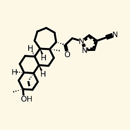 CC[C@]12CC[C@@](C)(O)C[C@H]1CC[C@H]1[C@@H]3CCCC[C@H](C(=O)Cn4cc(C#N)cn4)[C@@]3(C)CC[C@@H]12